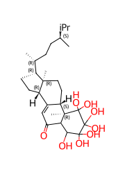 CC(C)[C@@H](C)CC[C@@H](C)[C@H]1CC[C@H]2C3=CC(=O)C4C(O)C(O)(O)C(O)(O)C(O)(O)[C@]4(C)[C@H]3CC[C@]12C